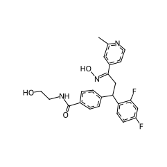 Cc1cc(C(CC(c2ccc(C(=O)NCCO)cc2)c2ccc(F)cc2F)=NO)ccn1